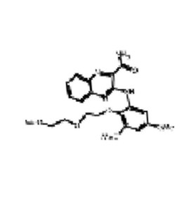 COCCOCCOc1c(Nc2nc3ccccc3nc2C(N)=O)cc(OC)cc1OC